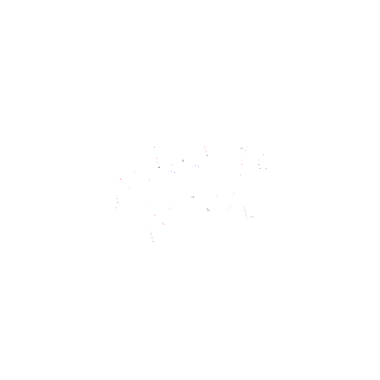 C=CS(=O)(=O)CCC(=O)NCNC(=O)CCS(=O)(=O)C=C.C=CS(=O)(=O)CCOCCS(=O)(=O)C=C